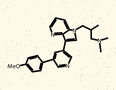 COc1ccc(-c2cncc(-c3cn(CC(C)CN(C)C)c4cccnc34)c2)cc1